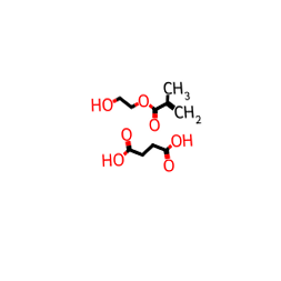 C=C(C)C(=O)OCCO.O=C(O)CCC(=O)O